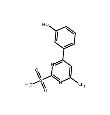 CS(=O)(=O)c1nc(-c2cccc(O)c2)cc(C(F)(F)F)n1